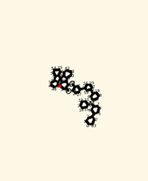 c1ccc(-c2cccc(N(c3ccccc3)c3cccc(-c4cccc(-c5ccc6c(c5)Oc5c(ccc7c5-c5ccccc5C75c7ccccc7-c7ccccc75)O6)c4)c3)c2)cc1